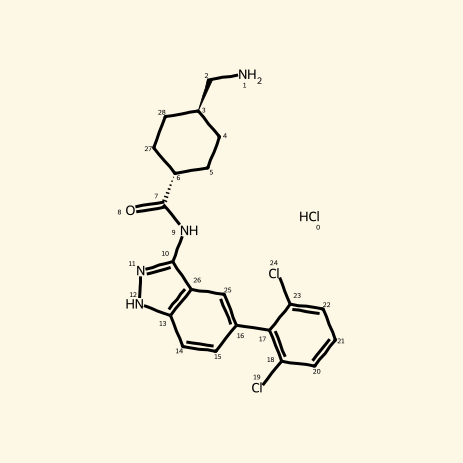 Cl.NC[C@H]1CC[C@H](C(=O)Nc2n[nH]c3ccc(-c4c(Cl)cccc4Cl)cc23)CC1